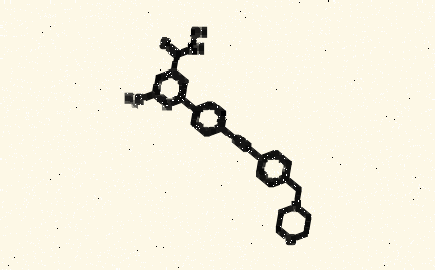 Cc1cc(C(=O)NO)cc(-c2ccc(C#Cc3ccc(CN4CCOCC4)cc3)cc2)n1